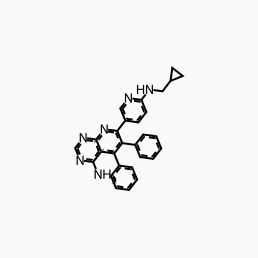 Nc1ncnc2nc(-c3ccc(NCC4CC4)nc3)c(-c3ccccc3)c(-c3ccccc3)c12